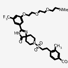 CNCCOCCOCCOc1cc(C2=NC3(CCN(S(=O)(=O)CCc4ccc(C(=O)O)cc4C)CC3)C(=O)N2)cc(C(F)(F)F)c1